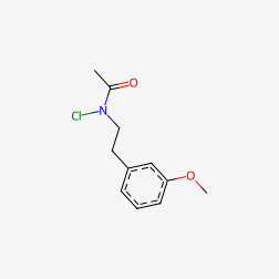 COc1cccc(CCN(Cl)C(C)=O)c1